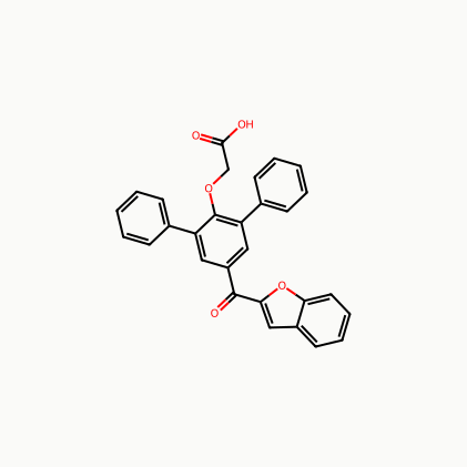 O=C(O)COc1c(-c2ccccc2)cc(C(=O)c2cc3ccccc3o2)cc1-c1ccccc1